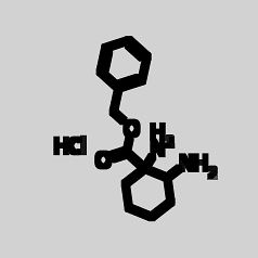 Cl.NC1CCCCC1(N)C(=O)OCc1ccccc1